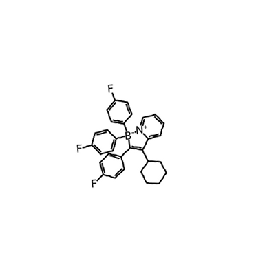 Fc1ccc(C2=C(C3CCCCC3)c3cccc[n+]3[B-]2(c2ccc(F)cc2)c2ccc(F)cc2)cc1